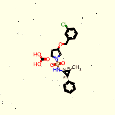 C[C@H]1[C@H](NS(=O)(=O)N2CCC(OCc3cccc(Cl)c3)C2)[C@H]1c1ccccc1.O=C(O)O